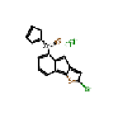 [Cl-].[Cl-].[S]=[Zr+2]([C]1=CC=CC1)[c]1cccc2c1=CC1=CC(Br)SC=21